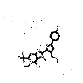 CCn1c(C(F)(F)F)cc2nc(-c3sc(-c4ccc(Cl)cc4)cc3CSC)n(C)c2c1=O